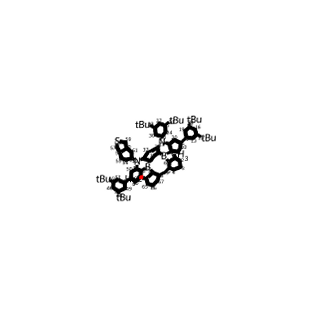 Cc1cccc2c1B1c3ccc(-c4cc(C(C)(C)C)cc(C(C)(C)C)c4)cc3N(c3cc(C(C)(C)C)cc(C(C)(C)C)c3)c3cc4c(cc31)B(c1ccc(-c3cc(C(C)(C)C)cc(C(C)(C)C)c3)cc1N4c1ccc3cscc3c1)c1c(C)cccc1C2